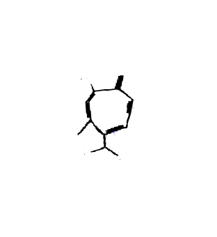 C=C1/C=C\C=C(\C(F)F)C(C)=C=C1C(C)C